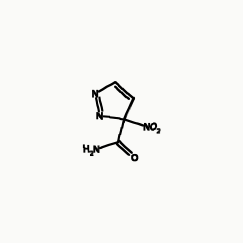 NC(=O)C1([N+](=O)[O-])C=CN=N1